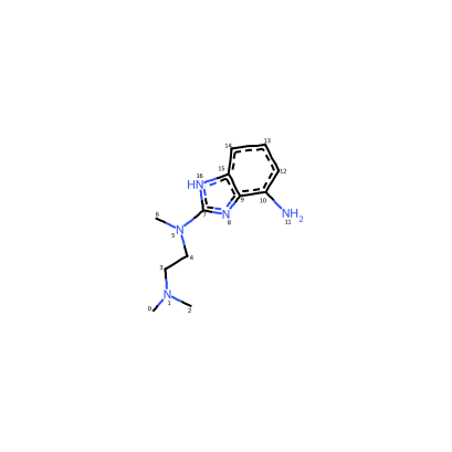 CN(C)CCN(C)c1nc2c(N)cccc2[nH]1